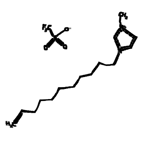 C=CCCCCCCCCCn1cc[n+](C)c1.O=S(=O)([O-])C(F)(F)F